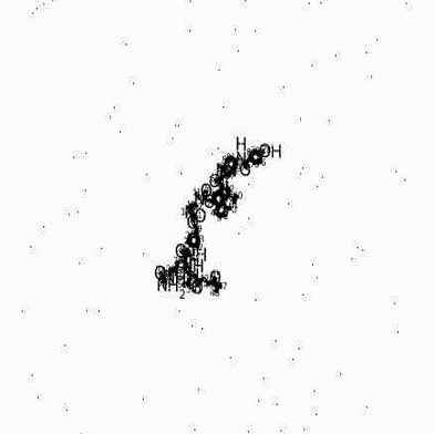 Cc1cccc2c(OC(=O)N(C)CCN(C)C(=O)OCc3ccc(NC(=O)[C@H](CCCNC(N)=O)NC(=O)[C@@H](NC(=O)CCC(=O)C(C)C)C(C)C)cc3)cc3c(c12)[C@H](C(C)C)CN3C(=O)c1cn2cc(NC(=O)c3ccc(O)cc3)ccc2n1